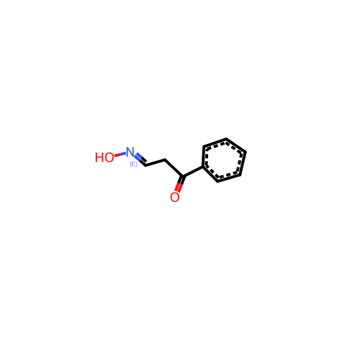 O=C(C/C=N/O)c1ccccc1